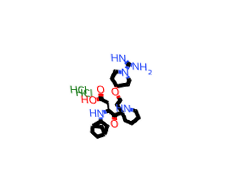 Cl.Cl.N=C(N)N1CCC(OCCC2(C(=O)[C@H](CC(=O)O)NC3CC4CCC3C4)CCCCN2)CC1